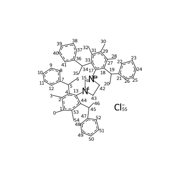 Cc1c(C)c(C(C)c2ccccc2)c(N2C=[N+](c3c(C(C)c4ccccc4)c(C)c(C)c(C)c3C(C)c3ccccc3)CC2)c(C(C)c2ccccc2)c1C.[Cl-]